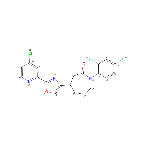 O=C1CC(c2coc(-c3cc(Cl)ccn3)n2)CCCN1c1ccc(F)cc1F